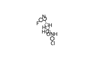 O=C(C[C@]1(O)C[C@H]2C[C@@H](c3ccnc4ccc(F)cc34)C[C@H]2C1)Nc1ccc(Cl)cc1